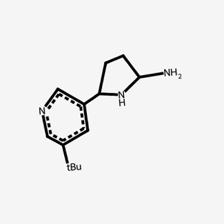 CC(C)(C)c1cncc(C2CCC(N)N2)c1